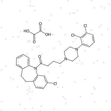 O=C(CCCN1CCN(c2cccc(Cl)c2Cl)CC1)N1c2ccccc2CCc2ccc(Cl)cc21.O=C(O)C(=O)O